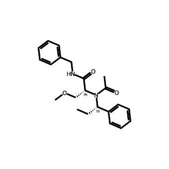 CC[C@@H](c1ccccc1)N(C(C)=O)[C@H](COC)C(=O)NCc1ccccc1